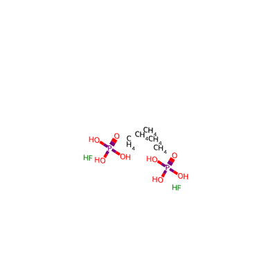 C.C.C.C.C.F.F.O=P(O)(O)O.O=P(O)(O)O